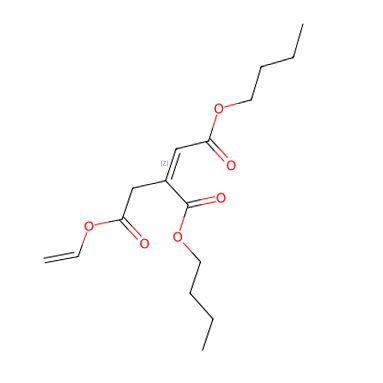 C=COC(=O)C/C(=C/C(=O)OCCCC)C(=O)OCCCC